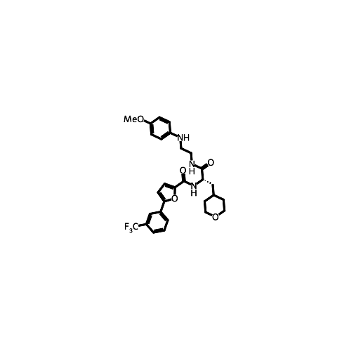 COc1ccc(NCCNC(=O)[C@H](CC2CCOCC2)NC(=O)c2ccc(-c3cccc(C(F)(F)F)c3)o2)cc1